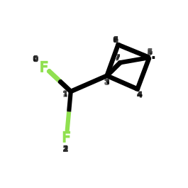 FC(F)C12C[C](C1)C2